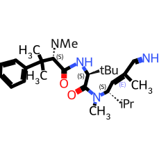 CN[C@H](C(=O)N[C@H](C(=O)N(C)[C@H](/C=C(\C)C=N)C(C)C)C(C)(C)C)C(C)(C)c1ccccc1